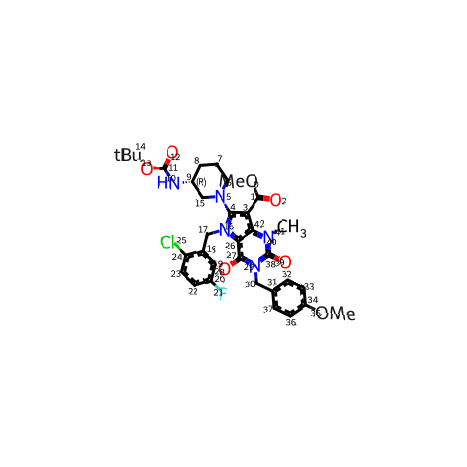 COC(=O)c1c(N2CCC[C@@H](NC(=O)OC(C)(C)C)C2)n(Cc2cc(F)ccc2Cl)c2c(=O)n(Cc3ccc(OC)cc3)c(=O)n(C)c12